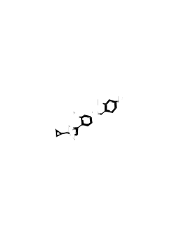 COc1cc(OCc2ccc(Br)cc2F)ccc1-c1c[nH]c(C2CC2)n1